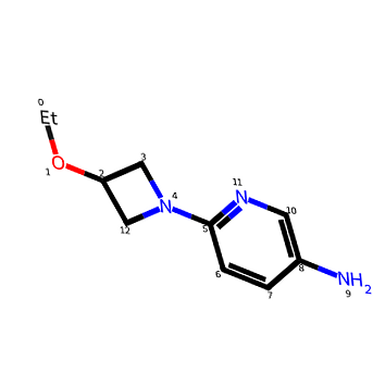 CCOC1CN(c2ccc(N)cn2)C1